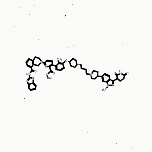 Cc1c(O[C@H]2CC[C@H](CCCCN3CCC(c4ccc5c(C6CCC(=O)NC6=O)nn(C)c5c4)CC3)CC2)cccc1-c1ccc(N2CCc3cccc(C(=O)Nc4nc5ccccc5s4)c3C2)nc1C(=O)OC(C)(C)C